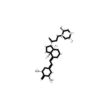 C=C1[C@H](O)CC(=CC=C2CCC[C@]3(C)[C@@H](C(C)CCN4C[C@@H](C)OC[C@@H]4C)CC[C@@H]23)C[C@H]1O